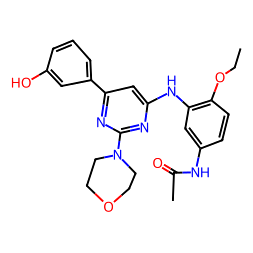 CCOc1ccc(NC(C)=O)cc1Nc1cc(-c2cccc(O)c2)nc(N2CCOCC2)n1